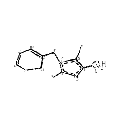 Cc1nc(C(=O)O)c(C)n1CC1=CC=CCC1